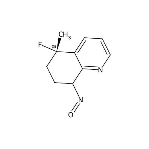 C[C@]1(F)CCC(N=O)c2ncccc21